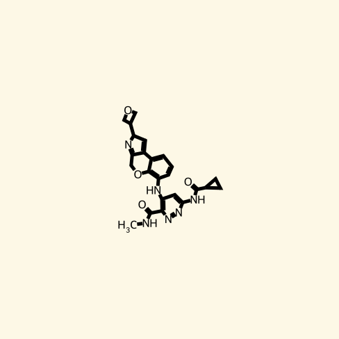 CNC(=O)c1nnc(NC(=O)C2CC2)cc1Nc1cccc2c1OCC1=NC(C3COC3)C=C12